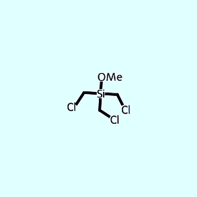 CO[Si](CCl)(CCl)CCl